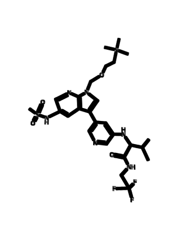 CC(C)C(Nc1cncc(-c2cn(COCC[Si](C)(C)C)c3ncc(NS(C)(=O)=O)cc23)c1)C(=O)NCC(F)(F)F